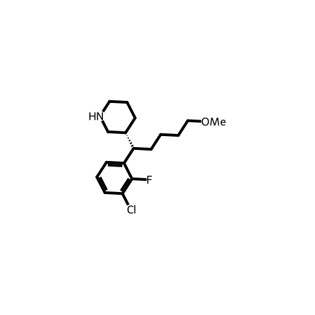 COCCCCC(c1cccc(Cl)c1F)[C@H]1CCCNC1